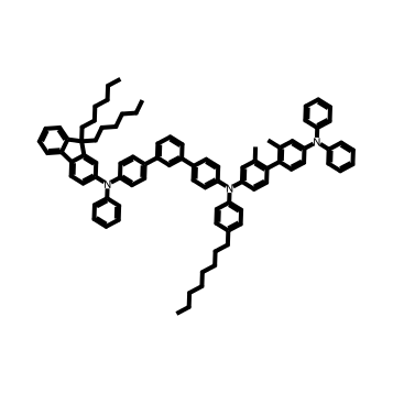 CCCCCCCCc1ccc(N(c2ccc(-c3cccc(-c4ccc(N(c5ccccc5)c5ccc6c(c5)C(CCCCCC)(CCCCCC)c5ccccc5-6)cc4)c3)cc2)c2ccc(-c3ccc(N(c4ccccc4)c4ccccc4)cc3C)c(C)c2)cc1